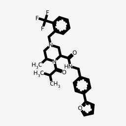 CC(C)C(=O)N1C(C)CN(Cc2ccccc2C(F)(F)F)CC1C(=O)NCc1ccc(-c2ccco2)cc1